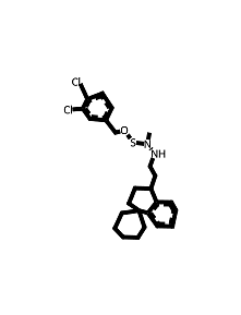 CN(NCCC1CCC2(CCCCC2)c2ccccc21)SOCc1ccc(Cl)c(Cl)c1